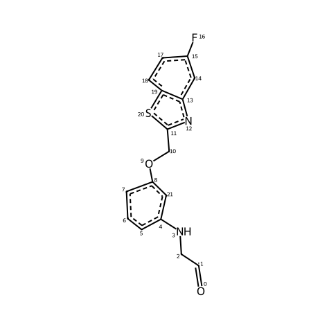 O=[C]CNc1cccc(OCc2nc3cc(F)ccc3s2)c1